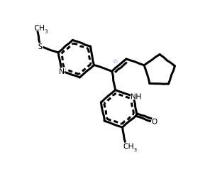 CSc1ccc(/C(=C/C2CCCC2)c2ccc(C)c(=O)[nH]2)cn1